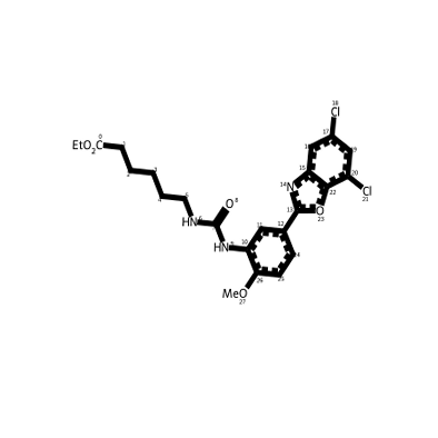 CCOC(=O)CCCCCNC(=O)Nc1cc(-c2nc3cc(Cl)cc(Cl)c3o2)ccc1OC